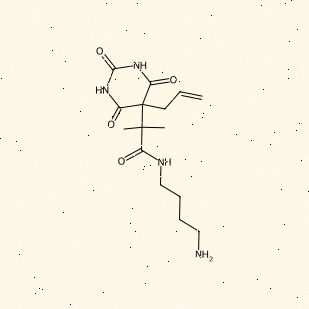 C=CCC1(C(C)(C)C(=O)NCCCCN)C(=O)NC(=O)NC1=O